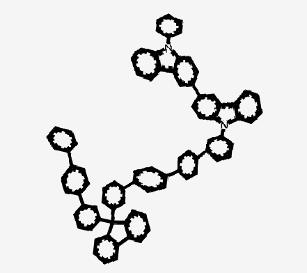 c1ccc(-c2ccc(-c3cccc(C4(c5cccc(-c6ccc(-c7ccc(-c8cccc(-n9c%10ccccc%10c%10cc(-c%11ccc%12c(c%11)c%11ccccc%11n%12-c%11ccccc%11)ccc%109)c8)cc7)cc6)c5)c5ccccc5-c5ccccc54)c3)cc2)cc1